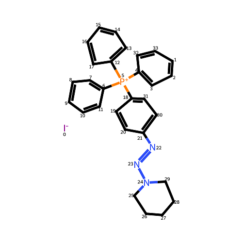 [I-].c1ccc([P+](c2ccccc2)(c2ccccc2)c2ccc(N=NN3CCCCC3)cc2)cc1